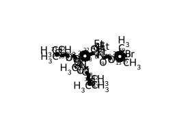 CC[Si](CC)(CC)O[C@H](CNC(=O)COc1cc(C)c(Br)c(C)c1)c1ccc(OCOCC[Si](C)(C)C)c(N(COCC[Si](C)(C)C)S(C)(=O)=O)c1